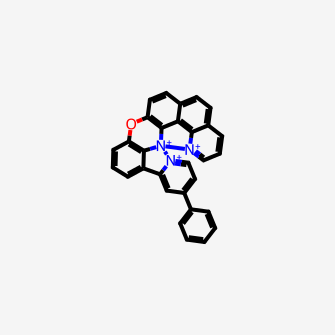 c1ccc(-c2cc[n+]3c(c2)-c2cccc4c2[N+]32c3c(ccc5ccc6ccc[n+]2c6c35)O4)cc1